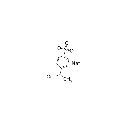 CCCCCCCCC(C)c1ccc(S(=O)(=O)[O-])cc1.[Na+]